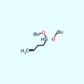 C=CCC[SiH](OC(C)CC)OC(C)CC